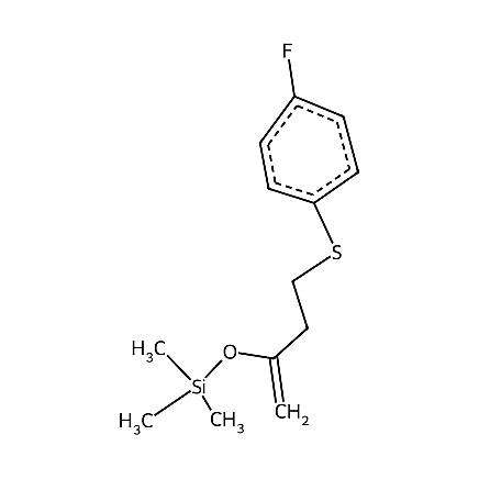 C=C(CCSc1ccc(F)cc1)O[Si](C)(C)C